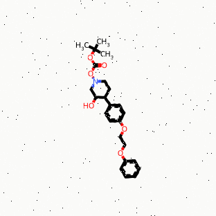 CC(C)(C)OC(=O)ON1CCC(c2ccc(OCCOc3ccccc3)cc2)C(O)C1